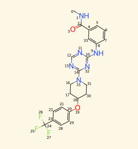 CNC(=O)c1cccc(Nc2ncnc(N3CCC(Oc4ccc(C(F)(F)F)cc4)CC3)n2)c1